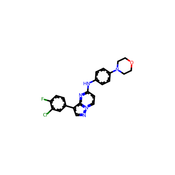 Fc1ccc(-c2cnn3ccc(Nc4ccc(N5CCOCC5)cc4)nc23)cc1Cl